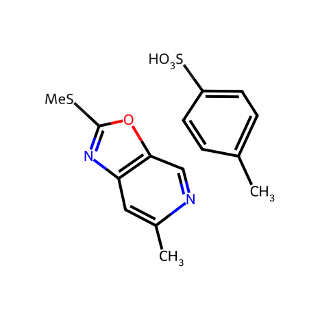 CSc1nc2cc(C)ncc2o1.Cc1ccc(S(=O)(=O)O)cc1